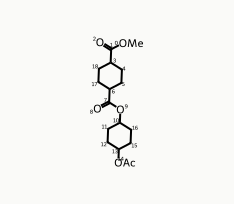 COC(=O)C1CCC(C(=O)OC2CCC(OC(C)=O)CC2)CC1